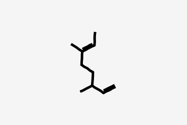 C=CC(C)CCC(C)=CC